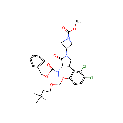 CC(C)(C)OC(=O)N1CC(N2C[C@@H](c3c(OCOCC[Si](C)(C)C)ccc(Cl)c3Cl)[C@H](NC(=O)OCc3ccccc3)C2=O)C1